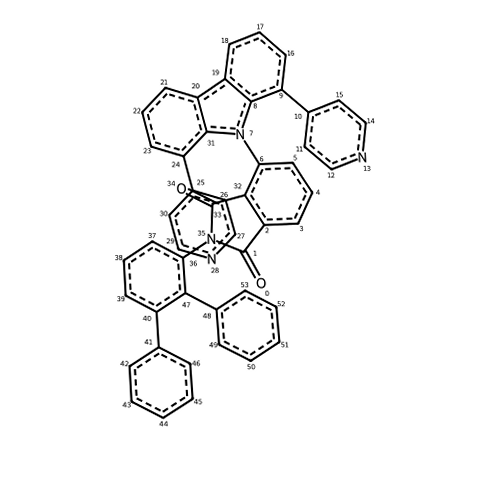 O=C1c2cccc(-n3c4c(-c5ccncc5)cccc4c4cccc(-c5ccncc5)c43)c2C(=O)N1c1cccc(-c2ccccc2)c1-c1ccccc1